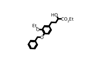 CCOC(=O)C(O)CCc1ccc(OCc2ccccc2)c(OCC)c1